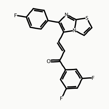 O=C(C=Cc1c(-c2ccc(F)cc2)nc2sccn12)c1cc(F)cc(F)c1